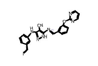 N#Cc1c(Nc2cccc(CI)c2)n[nH]c1/N=C/c1cccc(Oc2ncccn2)c1